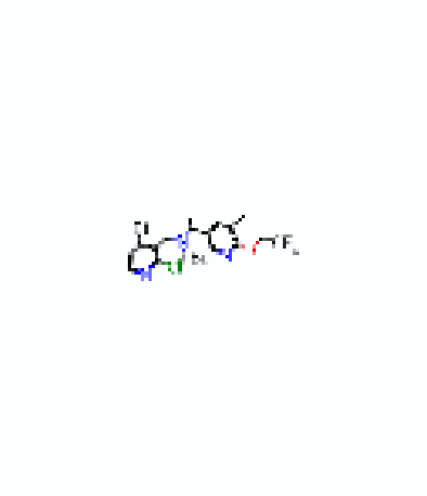 CCCCN(Cc1c(CC)ccnc1Cl)C(C)c1cnc(OCC(F)(F)F)c(C)c1